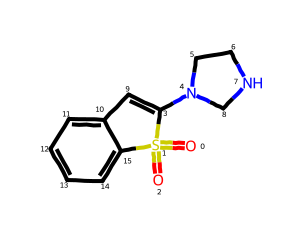 O=S1(=O)C(N2CCNC2)=Cc2ccccc21